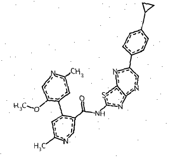 COc1cnc(C)cc1-c1cc(C)ncc1C(=O)Nc1nc2ncc(-c3ccc(C4CC4)cc3)nc2s1